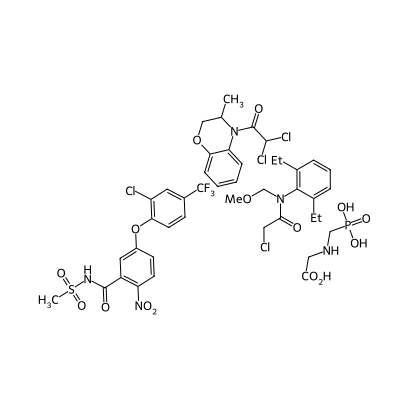 CC1COc2ccccc2N1C(=O)C(Cl)Cl.CCc1cccc(CC)c1N(COC)C(=O)CCl.CS(=O)(=O)NC(=O)c1cc(Oc2ccc(C(F)(F)F)cc2Cl)ccc1[N+](=O)[O-].O=C(O)CNCP(=O)(O)O